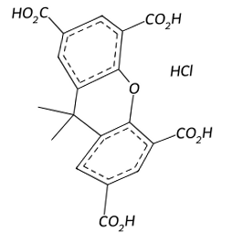 CC1(C)c2cc(C(=O)O)cc(C(=O)O)c2Oc2c(C(=O)O)cc(C(=O)O)cc21.Cl